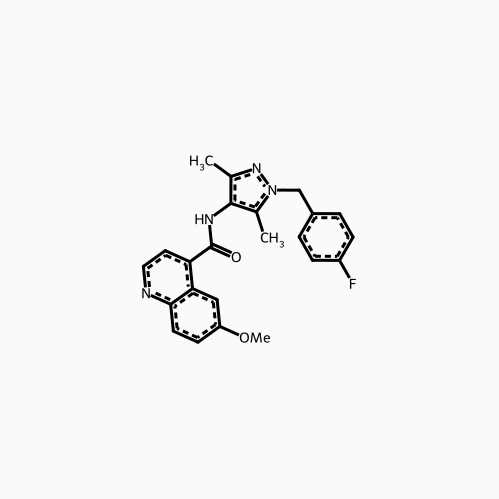 COc1ccc2nccc(C(=O)Nc3c(C)nn(Cc4ccc(F)cc4)c3C)c2c1